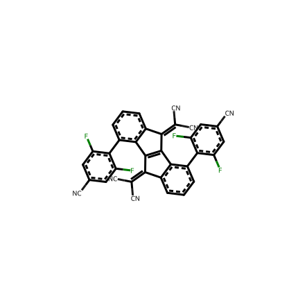 N#CC(C#N)=C1C2=C(C(=C(C#N)C#N)c3cccc(-c4c(F)cc(C#N)cc4F)c32)c2c1cccc2-c1c(F)cc(C#N)cc1F